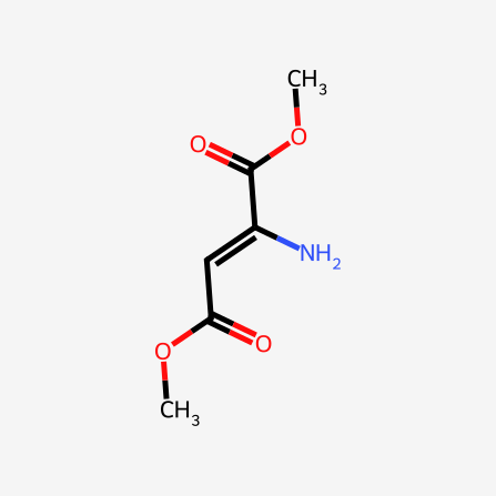 COC(=O)C=C(N)C(=O)OC